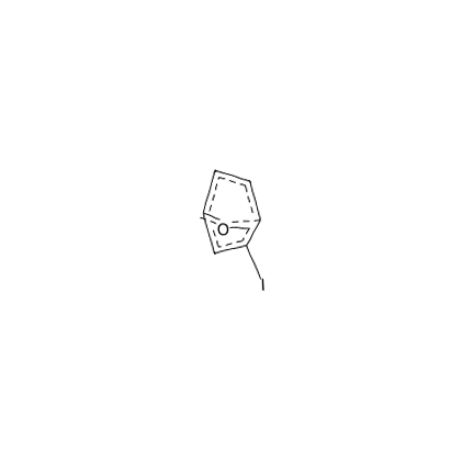 Ic1cc2ccc1o2